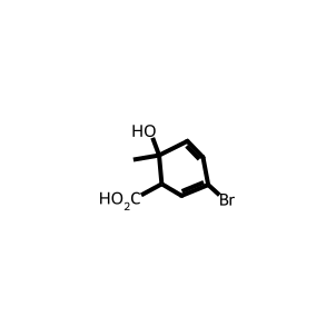 CC1(O)C=CC(Br)=CC1C(=O)O